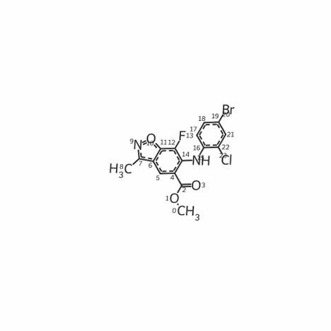 COC(=O)c1cc2c(C)noc2c(F)c1Nc1ccc(Br)cc1Cl